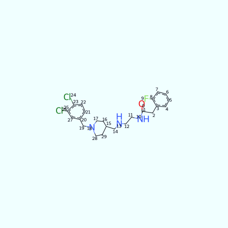 O=C(Cc1ccccc1F)NCCNCC1CCN(Cc2ccc(Cl)c(Cl)c2)CC1